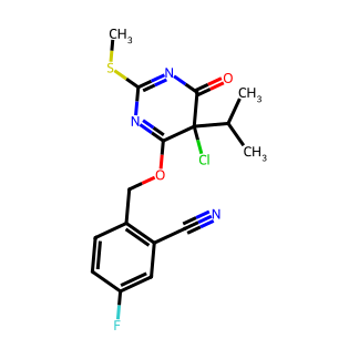 CSC1=NC(=O)C(Cl)(C(C)C)C(OCc2ccc(F)cc2C#N)=N1